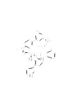 OC(Cc1ccccc1)Nc1cncc(-c2ccc3[nH]nc(-c4nc5c(-c6cccnc6)ccnc5[nH]4)c3c2)c1